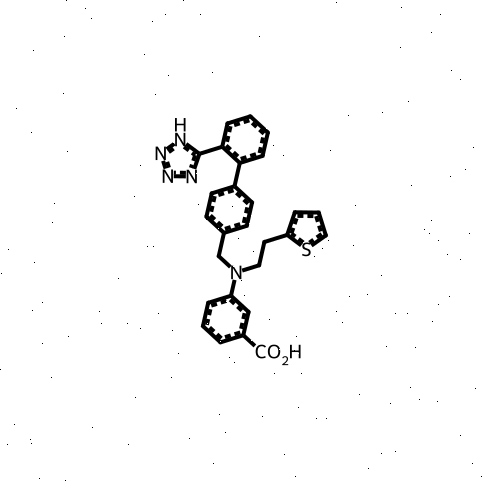 O=C(O)c1cccc(N(CCc2cccs2)Cc2ccc(-c3ccccc3-c3nnn[nH]3)cc2)c1